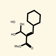 COC(=O)C(=CC1CCCCC1)C(O)O.[OH]